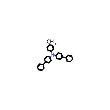 Cc1ccc(N(c2ccc(C3=CCCC=C3)cc2)c2ccc(C3C=CC=CC3)cc2)cc1